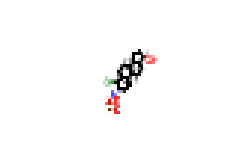 C[C@]12CC/C(=N\OS(C)(=O)=O)C(Br)=C1CC[C@@H]1[C@@H]2CC[C@@]2(C)[C@H]1CC[C@]2(C)O